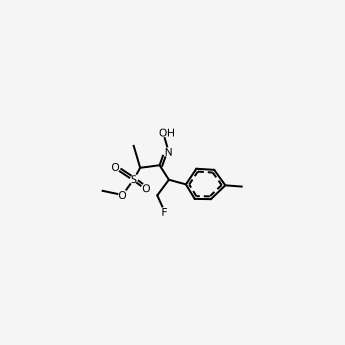 COS(=O)(=O)C(C)C(=NO)C(CF)c1ccc(C)cc1